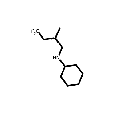 CC(CNC1CCCCC1)CC(F)(F)F